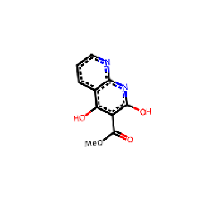 COC(=O)c1c(O)nc2ncccc2c1O